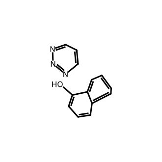 Oc1cccc2ccccc12.c1cnnnc1